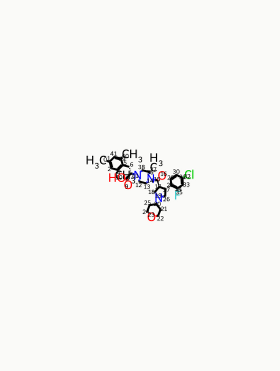 Cc1cc(C)c(C[C@@H](C(=O)O)N2CCN(C(=O)[C@@H]3CN(C4CCOCC4)C[C@H]3c3ccc(Cl)cc3F)[C@@H](C)C2)c(C)c1